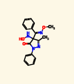 CON=C(c1ccccc1)C1(NO)C(=O)N(c2ccccc2)N=C1C